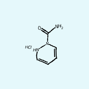 Cl.NC(=O)N1C=CC=CN1